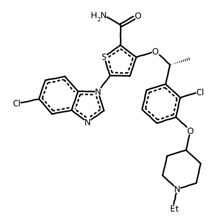 CCN1CCC(Oc2cccc([C@@H](C)Oc3cc(-n4cnc5cc(Cl)ccc54)sc3C(N)=O)c2Cl)CC1